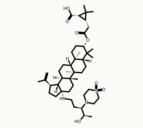 C=C(C)[C@@H]1CC[C@]2(NCC[C@H]([C@@H](C)O)N3CCS(=O)(=O)CC3)CC[C@]3(C)[C@H](CC[C@@H]4[C@@]5(C)CC[C@H](OC(=O)C[C@@H]6[C@H](C(=O)O)C6(C)C)C(C)(C)[C@@H]5CC[C@]43C)[C@@H]12